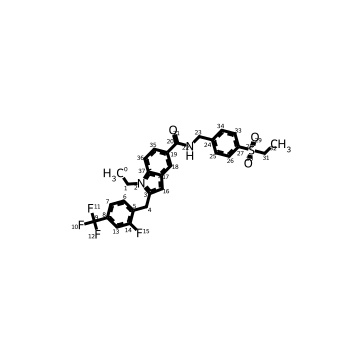 CCn1c(Cc2ccc(C(F)(F)F)cc2F)cc2cc(C(=O)NCc3ccc(S(=O)(=O)CC)cc3)ccc21